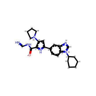 N=CNC(=O)c1[nH]c(-c2ccc3c(c2)ncn3C2CCCCC2)cc1N1CCCC1